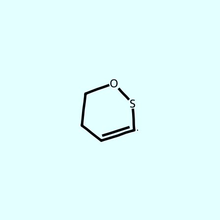 [C]1=CCCOS1